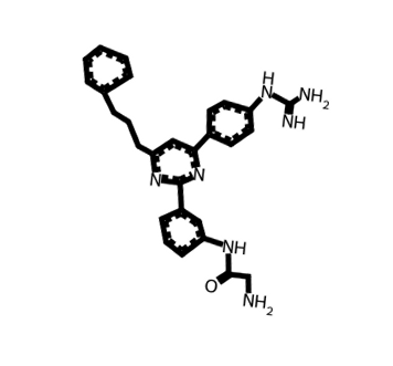 N=C(N)Nc1ccc(-c2cc(CCCc3ccccc3)nc(-c3cccc(NC(=O)CN)c3)n2)cc1